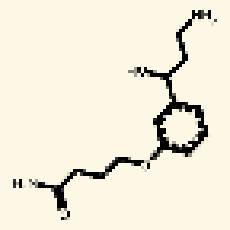 NCCC(O)c1cccc(OCCCC(N)=O)c1